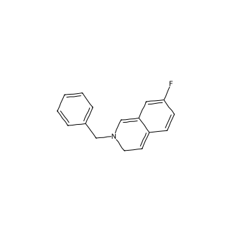 Fc1ccc2c(c1)=CN(Cc1ccccc1)CC=2